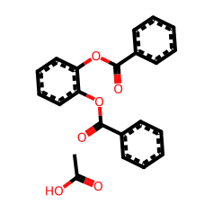 CC(=O)O.O=C(Oc1ccccc1OC(=O)c1ccccc1)c1ccccc1